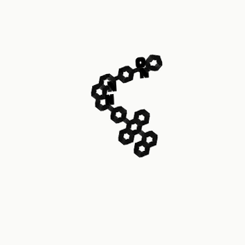 c1ccc2c(-c3c4ccccc4c(-c4ccc(-c5ccc6ccc7ccc(-c8ccc(-c9nc%10ccccc%10o9)cc8)nc7c6n5)cc4)c4ccccc34)cccc2c1